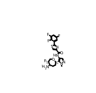 Cn1ncc(NC(=O)c2csc(-c3cc(F)cc(F)c3F)n2)c1[C@@H]1CC[C@@H](N)[C@H](F)CO1